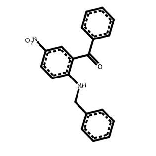 O=C(c1ccccc1)c1cc([N+](=O)[O-])ccc1NCc1ccccc1